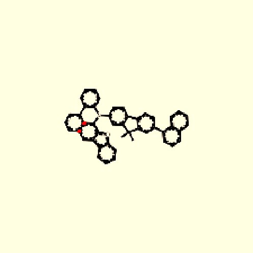 CC1(C)c2cc(-c3cccc4ccccc34)ccc2-c2ccc(N(c3ccccc3-c3ccccc3)c3cccc4c3oc3ccccc34)cc21